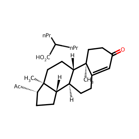 CC(=O)[C@H]1CC[C@H]2[C@@H]3CCC4=CC(=O)CC[C@]4(C)[C@H]3CC[C@]12C.CCCC(CCC)C(=O)O